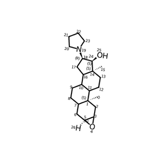 C[C@]12CC3O[C@H]3CC1CCC1C2CC[C@@]2(C)C1C[C@@H](N1CCCC1)[C@H]2O